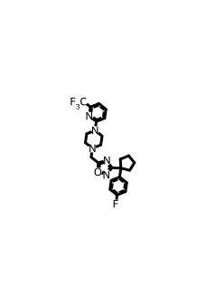 Fc1ccc(C2(c3noc(CN4CCN(c5cccc(C(F)(F)F)n5)CC4)n3)CCCC2)cc1